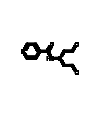 O=C(NN(CCCl)CCCl)c1ccncc1